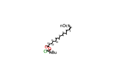 CCCCCCCC/C=C\CCCCCCCCCCCC(=O)OC(Cl)CCCC